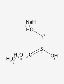 O.O.O=S(O)CO.[NaH]